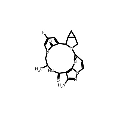 CC1Cn2cc(F)cc(c2=O)C2C3CC3CN2c2ccn3nc(N)c(c3n2)C(=O)N1